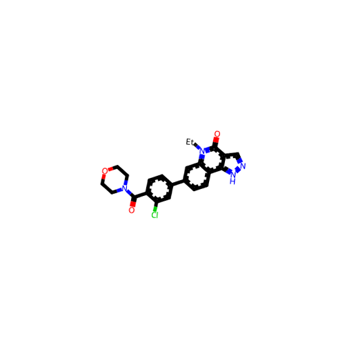 CCn1c(=O)c2cn[nH]c2c2ccc(-c3ccc(C(=O)N4CCOCC4)c(Cl)c3)cc21